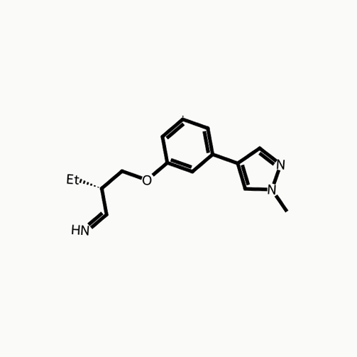 CC[C@@H](C=N)COc1c[c]cc(-c2cnn(C)c2)c1